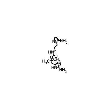 CC(C)(Cc1cnc(N)[nH]1)OC(=O)NCCCn1nccc1N